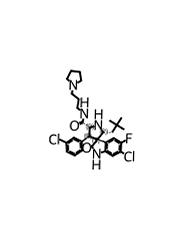 CC(C)(C)C[C@H]1N[C@@H](C(=O)NCCCN2CCCC2)[C@H](c2cccc(Cl)c2)[C@@]12C(=O)Nc1cc(Cl)c(F)cc12